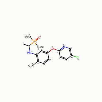 COP(=O)(OC)C(C)Nc1cc(Oc2ccc(Cl)cn2)ccc1[N+](=O)[O-]